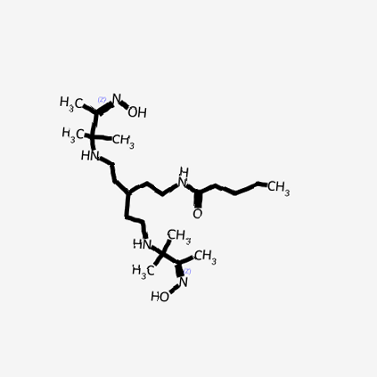 CCCCC(=O)NCCC(CCNC(C)(C)/C(C)=N\O)CCNC(C)(C)/C(C)=N\O